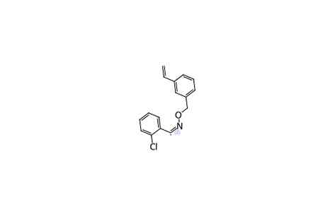 C=Cc1cccc(CO/N=[C]\c2ccccc2Cl)c1